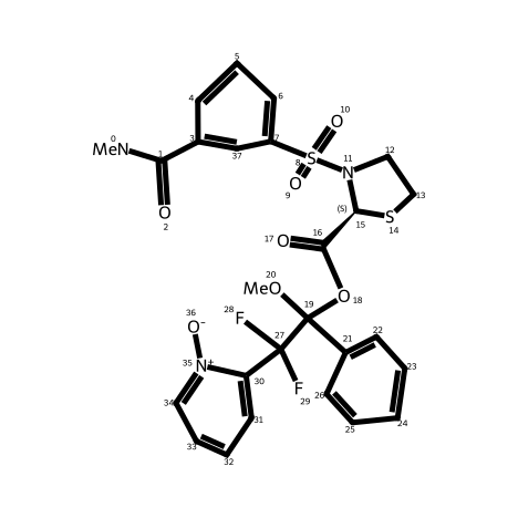 CNC(=O)c1cccc(S(=O)(=O)N2CCS[C@H]2C(=O)OC(OC)(c2ccccc2)C(F)(F)c2cccc[n+]2[O-])c1